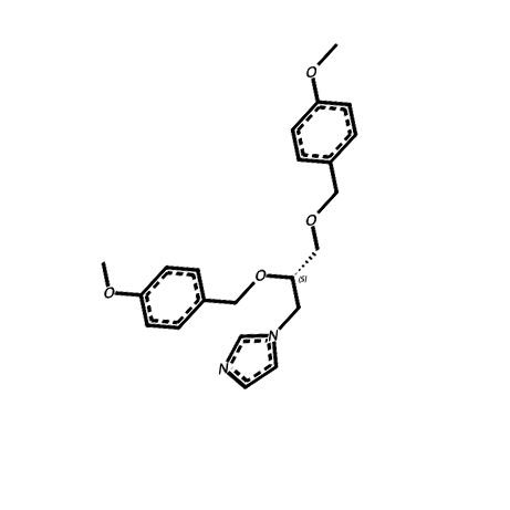 COc1ccc(COC[C@H](Cn2ccnc2)OCc2ccc(OC)cc2)cc1